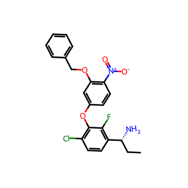 CC[C@@H](N)c1ccc(Cl)c(Oc2ccc([N+](=O)[O-])c(OCc3ccccc3)c2)c1F